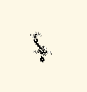 COC(=O)[C@@H](C(=O)OCc1ccccc1)C(N)N(C(=O)CN)C(=O)CCCCCC1CCN(C(=O)OC(C)(C)C)CC1